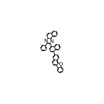 c1ccc(-c2nc3ccc4ccccc4c3nc2-c2ccc(-c3ccc4c(ccc5c6ccccc6oc45)c3)c3ccccc23)cc1